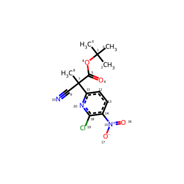 CC(C)(C)OC(=O)C(C)(C#N)c1ccc([N+](=O)[O-])c(Cl)n1